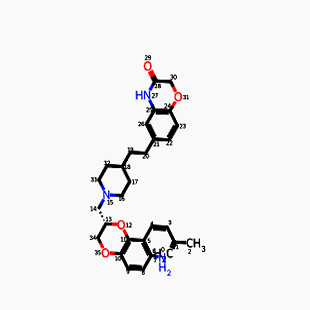 C=C(C)/C=C\c1c(N)ccc2c1O[C@@H](CN1CCC(CCc3ccc4c(c3)NC(=O)CO4)CC1)CO2